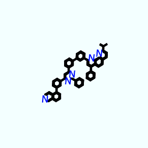 CC(C)c1ccc2ccc3c(-c4ccccc4)cc(-c4cccc(-c5cccc(-c6cc(-c7cccc(-c8cccc9cnccc89)c7)nc(-c7ccccc7)n6)c5)c4)nc3c2n1